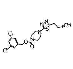 C#CCCc1nnc(N2CCN(C(=O)OCc3cc(Cl)cc(Cl)c3)CC2)s1